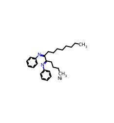 CCCCCCCCC(=Nc1ccccc1)C(CCCC)=Nc1ccccc1.[Ni]